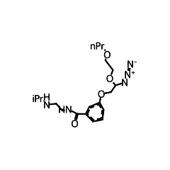 CCCOCCOC(COc1cccc(C(=O)NCCNC(C)C)c1)N=[N+]=[N-]